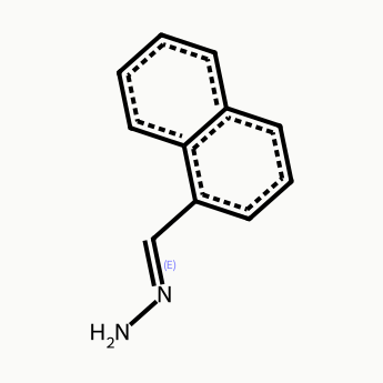 N/N=C/c1cccc2ccccc12